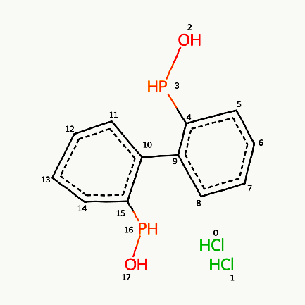 Cl.Cl.OPc1ccccc1-c1ccccc1PO